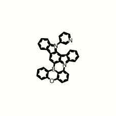 c1cncc(-n2c3ccccc3c3cc4c5c(c6ccccc6n5-c5cccc6c5B4c4ccccc4O6)c32)c1